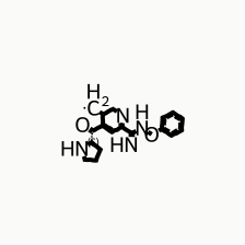 [CH2]C1CN=C(C(=N)NOc2ccccc2)C=C1C(=O)[C@@H]1CCCN1